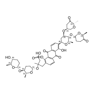 C[C@@H]1OC[C@@H](O[C@@H]2C[C@H](c3ccc4c(c3O)C(=O)c3ccc(CC(C)(CC(=O)O)O[C@H]5CC[C@H](O[C@H]6CC[C@@H](O)[C@H](C)O6)[C@H](C)O5)c(O)c3C4=O)O[C@H](C)[C@H]2O[C@H]2CCC(=O)[C@H](C)O2)CC1=O